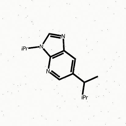 CC(C)C(C)c1cnc2c(c1)ncn2C(C)C